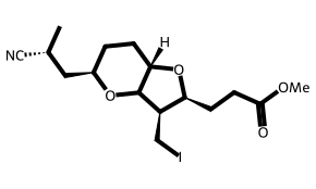 COC(=O)CC[C@@H]1O[C@H]2CC[C@H](C[C@@H](C)C#N)OC2[C@@H]1CI